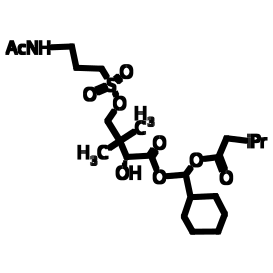 CC(=O)NCCCS(=O)(=O)OCC(C)(C)[C@@H](O)C(=O)OC(OC(=O)CC(C)C)C1CCCCC1